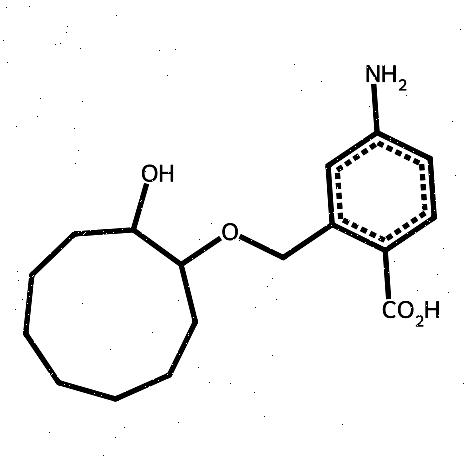 Nc1ccc(C(=O)O)c(COC2CCCCCCCC2O)c1